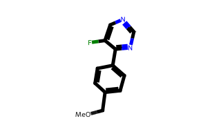 COCc1ccc(-c2n[c]ncc2F)cc1